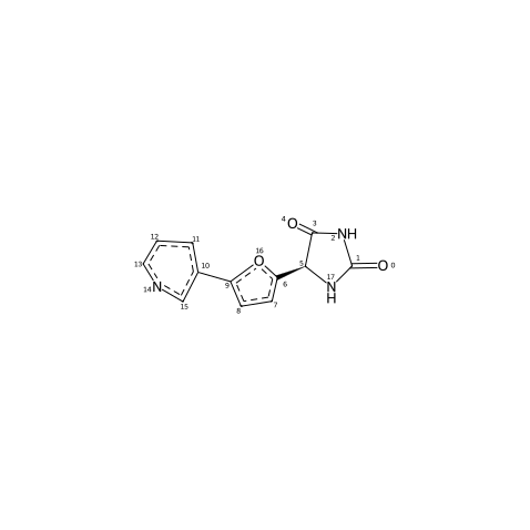 O=C1NC(=O)[C@H](c2ccc(-c3cccnc3)o2)N1